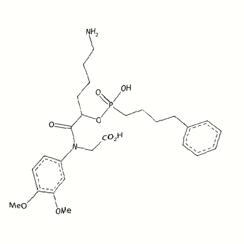 COc1ccc(N(CC(=O)O)C(=O)C(CCCCN)OP(=O)(O)CCCCc2ccccc2)cc1OC